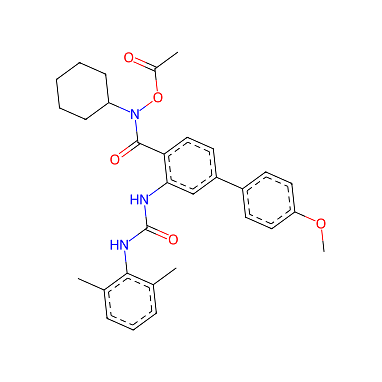 COc1ccc(-c2ccc(C(=O)N(OC(C)=O)C3CCCCC3)c(NC(=O)Nc3c(C)cccc3C)c2)cc1